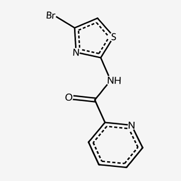 O=C(Nc1nc(Br)cs1)c1ccccn1